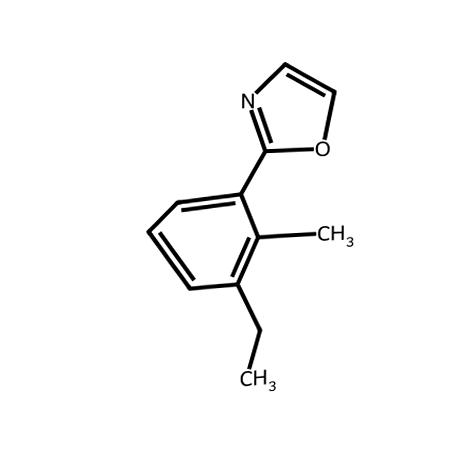 CCc1cccc(-c2ncco2)c1C